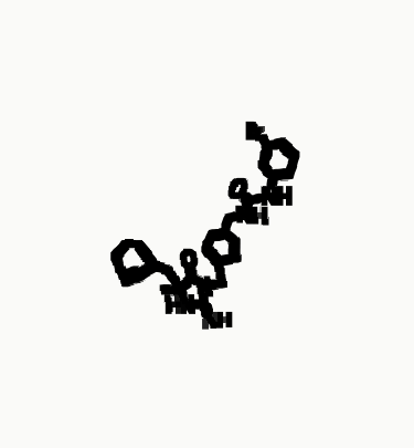 CC1(Cc2ccccc2)NC(=N)N(Cc2ccc(CNC(=O)Nc3cccc(Br)c3)cc2)C1=O